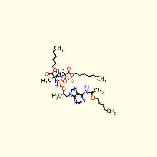 C=C(Nc1ncnc2c1ncn2C[C@@H](C)OCP(=O)(NC(C)(C)C(=O)OCCCCCC)NC(C)(C)C(=O)OCCCCCC)OCCCCC